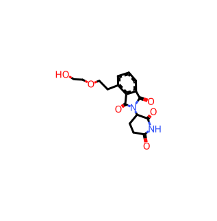 O=C1CCC(N2C(=O)c3cccc(CCOCCO)c3C2=O)C(=O)N1